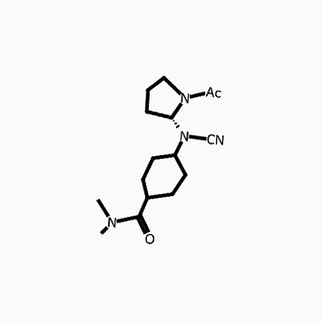 CC(=O)N1CCC[C@H]1N(C#N)C1CCC(C(=O)N(C)C)CC1